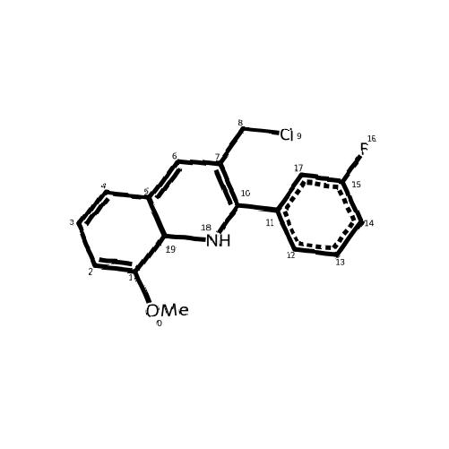 COC1=CC=CC2=CC(CCl)=C(c3cccc(F)c3)NC21